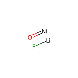 [Li][F].[O]=[Ni]